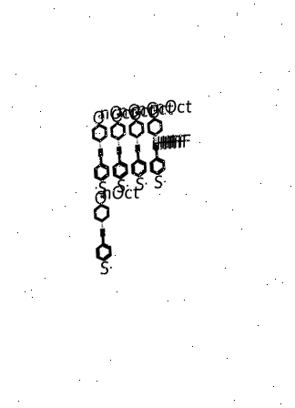 CCCCCCCCO[C@H]1CC[C@H](C#Cc2ccc([S])cc2)CC1.CCCCCCCCO[C@H]1CC[C@H](C#Cc2ccc([S])cc2)CC1.CCCCCCCCO[C@H]1CC[C@H](C#Cc2ccc([S])cc2)CC1.CCCCCCCCO[C@H]1CC[C@H](C#Cc2ccc([S])cc2)CC1.CCCCCCCCO[C@H]1CC[C@H](C#Cc2ccc([S])cc2)CC1.F.F.F.F.F